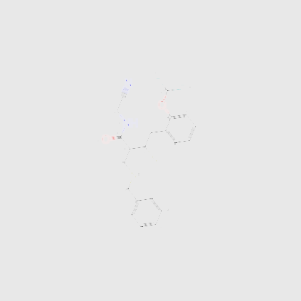 N#CCNC(=O)C(CSCc1ccccc1)C(S)Cc1ccccc1OC(F)F